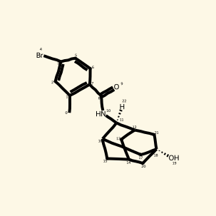 Cc1cc(Br)ccc1C(=O)N[C@H]1C2CC3CC1C[C@](O)(C3)C2